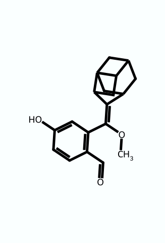 CO/C(=C1\C2CC3CC4(C2)C1CC34)c1cc(O)ccc1C=O